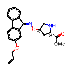 C=CCOc1ccc2c(c1)C(=NO[C@H]1CN[C@H](C(=O)OC)C1)c1ccccc1-2